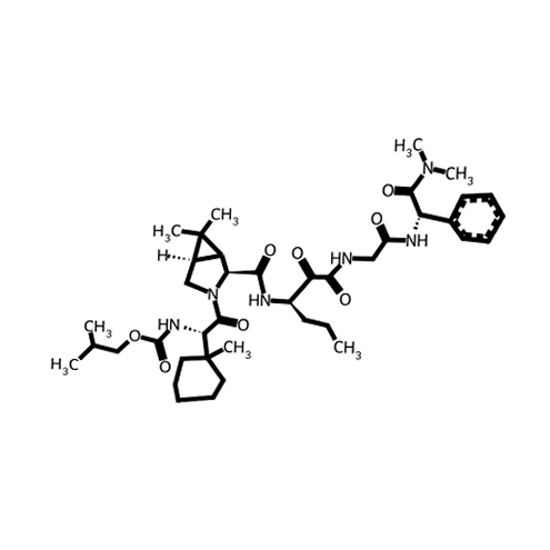 CCC[C@@H](NC(=O)[C@@H]1C2[C@@H](CN1C(=O)[C@@H](NC(=O)OCC(C)C)C1(C)CCCCC1)C2(C)C)C(=O)C(=O)NCC(=O)N[C@H](C(=O)N(C)C)c1ccccc1